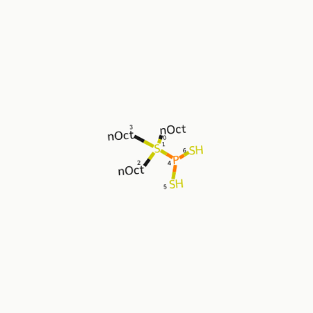 CCCCCCCCS(CCCCCCCC)(CCCCCCCC)P(S)S